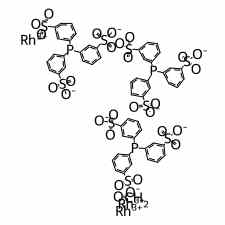 C=O.O=S(=O)([O-])c1cccc(P(c2cccc(S(=O)(=O)[O-])c2)c2cccc(S(=O)(=O)[O-])c2)c1.O=S(=O)([O-])c1cccc(P(c2cccc(S(=O)(=O)[O-])c2)c2cccc(S(=O)(=O)[O-])c2)c1.O=S(=O)([O-])c1cccc(P(c2cccc(S(=O)(=O)[O-])c2)c2cccc(S(=O)(=O)[O-])c2)c1.[Rh+3].[Rh+3].[Rh+3]